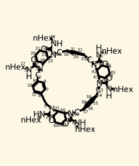 CCCCCCNC(=O)N1Cc2ccc(cc2)CN(C(=O)NCCCCCC)C2CCCCC2N(C(=O)NCCCCCC)Cc2ccc(cc2)CN(C(=O)NCCCCCC)C2CCCCC2N(C(=O)NCCCCCC)Cc2ccc(cc2)CN(C(=O)NCCCCCC)C2CCCCC21